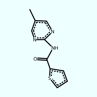 Cc1cnc(NC(=O)c2cccs2)nc1